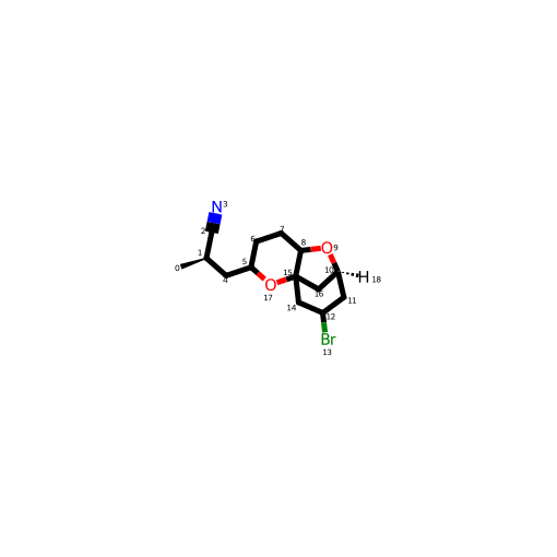 C[C@@H](C#N)CC1CCC2O[C@H]3CC(Br)CC2(C3)O1